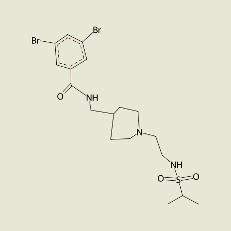 CC(C)S(=O)(=O)NCCN1CCC(CNC(=O)c2cc(Br)cc(Br)c2)CC1